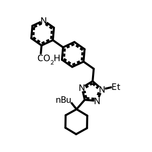 CCCCC1(c2nc(Cc3ccc(-c4cnccc4C(=O)O)cc3)n(CC)n2)CCCCC1